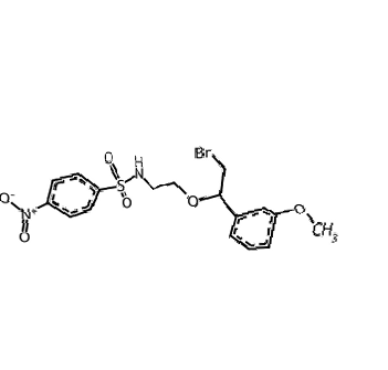 COc1cccc(C(CBr)OCCNS(=O)(=O)c2ccc([N+](=O)[O-])cc2)c1